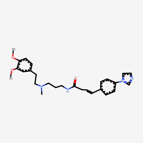 CCOc1ccc(CCN(C)CCCNC(=O)C/C=C/c2ccc(-n3ccnc3)cc2)cc1OCC